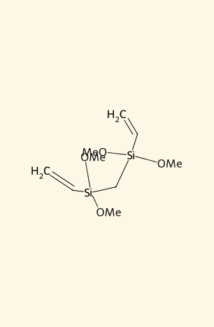 C=C[Si](C[Si](C=C)(OC)OC)(OC)OC